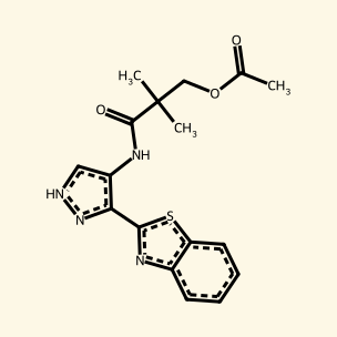 CC(=O)OCC(C)(C)C(=O)Nc1c[nH]nc1-c1nc2ccccc2s1